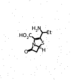 CCC(N)C1=C(C(=O)O)N2C(=O)C[C@@H]2S1